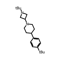 CC(C)(C)c1ccc(C2CCN(C3CN(C(C)(C)C)C3)CC2)cc1